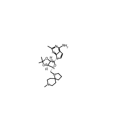 Cc1nc(N)c2ccn([C@@H]3O[C@H](CN4CCCC45CCN(C)CC5)[C@H]4OC(C)(C)O[C@H]43)c2n1